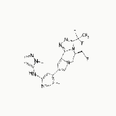 Cc1cnc(Nc2ccnn2C)cc1-c1cc2n(c1)C[C@H](CF)n1c-2nnc1C(F)(F)C(F)(F)F